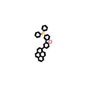 c1ccc(P(c2ccccc2)c2ccc3oc4ccc(-c5ccc6ccc7cccc8ccc5c6c78)cc4c3c2)cc1